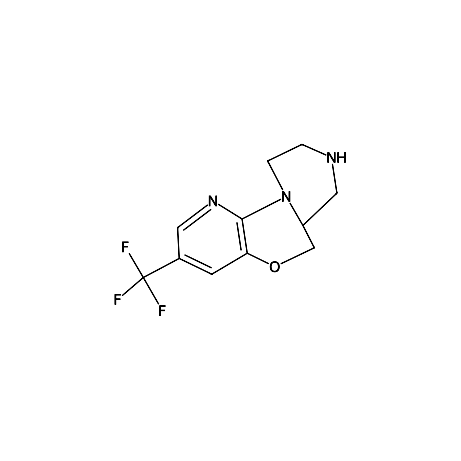 FC(F)(F)c1cnc2c(c1)OCC1CNCCN21